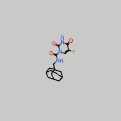 O=C(NCC12CC3CC(CC(C3)C1)C2)n1cc(F)c(=O)[nH]c1=O